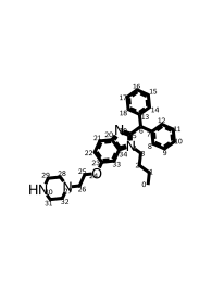 CCCCn1c(C(c2ccccc2)c2ccccc2)nc2ccc(OCCN3CCNCC3)cc21